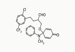 CN(c1ccccc1)C1(OCC(C=O)CCc2cc(C(F)(F)F)ccc2Cl)C=CC(=O)C=C1